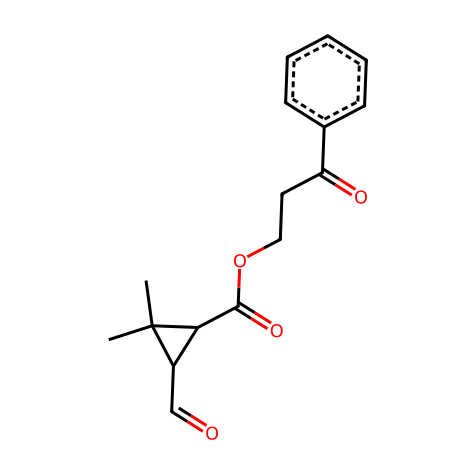 CC1(C)C(C=O)C1C(=O)OCCC(=O)c1ccccc1